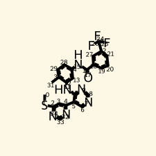 CSc1cc(-c2cncnc2Nc2cc(NC(=O)c3cccc(C(F)(F)F)c3)ccc2C)ncn1